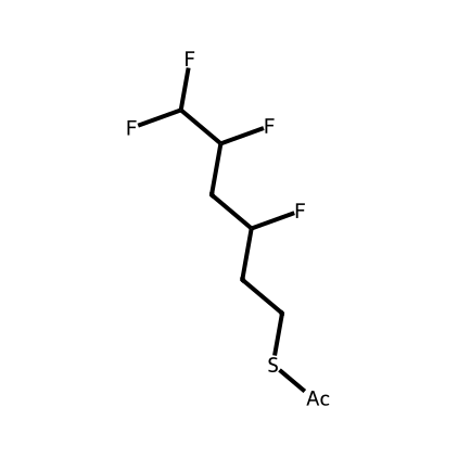 CC(=O)SCCC(F)CC(F)C(F)F